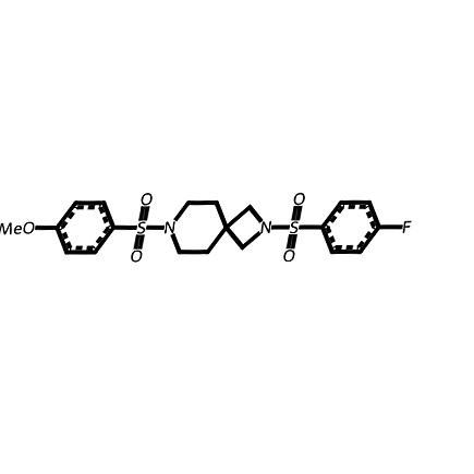 COc1ccc(S(=O)(=O)N2CCC3(CC2)CN(S(=O)(=O)c2ccc(F)cc2)C3)cc1